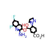 Nc1nc2c(F)cc(F)cc2cc1OC(O)c1cc(C(=O)O)ccc1-n1cccn1